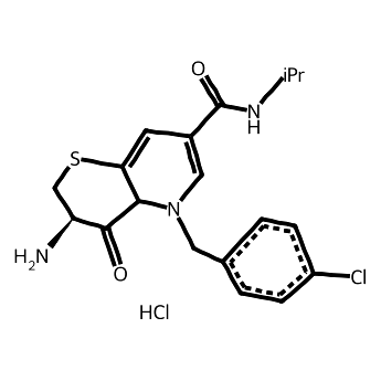 CC(C)NC(=O)C1=CN(Cc2ccc(Cl)cc2)C2C(=O)[C@@H](N)CSC2=C1.Cl